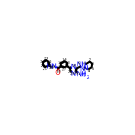 N=C(NN1CCCCC1)c1nc(-c2cccc(C(=O)NCc3ccccc3)c2)cnc1N